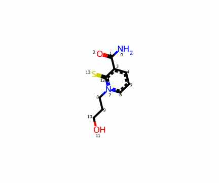 NC(=O)c1cccn(CCCO)c1=S